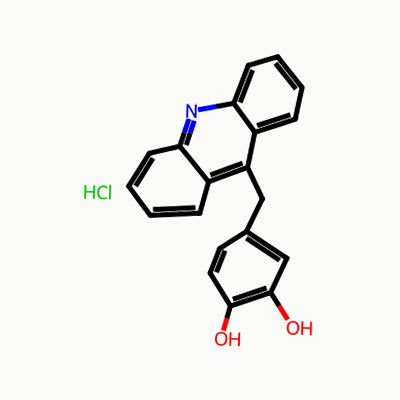 Cl.Oc1ccc(Cc2c3ccccc3nc3ccccc23)cc1O